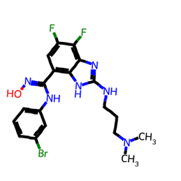 CN(C)CCCNc1nc2c(F)c(F)cc(/C(=N/O)Nc3cccc(Br)c3)c2[nH]1